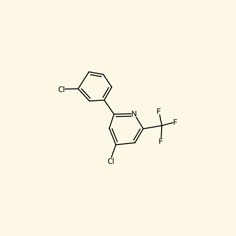 FC(F)(F)c1cc(Cl)cc(-c2cccc(Cl)c2)n1